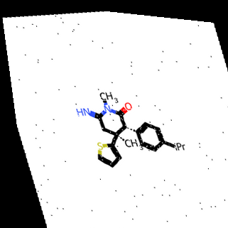 CC(C)c1ccc([C@H]2C(=O)N(C)C(=N)C[C@]2(C)c2cccs2)cc1